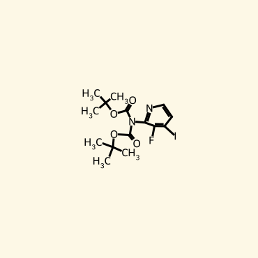 CC(C)(C)OC(=O)N(C(=O)OC(C)(C)C)c1nccc(I)c1F